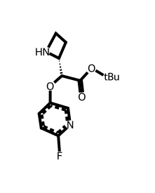 CC(C)(C)OC(=O)C(Oc1ccc(F)nc1)[C@H]1CCN1